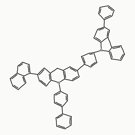 c1ccc(-c2ccc(N3c4ccc(-c5ccc(-n6c7ccccc7c7cc(-c8ccccc8)ccc76)cc5)cc4Cc4cc(-c5cccc6ccccc56)ccc43)cc2)cc1